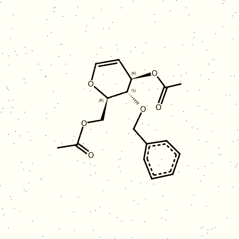 CC(=O)OC[C@H]1OC=C[C@@H](OC(C)=O)[C@@H]1OCc1ccccc1